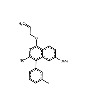 C=CCOc1nc(C#N)c(-c2cccc(F)c2)c2cc(OC)ccc12